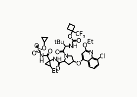 CCOc1cc(OC2CC(C(=O)NC3(C(=O)NS(=O)(=O)OC4CC4)CC3CC)N(C(=O)C(NC(=O)OC3(C(F)(F)F)CCC3)C(C)(C)C)C2)c2cccc(Cl)c2n1